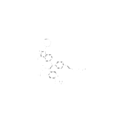 COc1cc(C)c(C(=C(c2ccc(C=CC(=O)O)cc2)c2ccc3c(c2)c(F)nn3C2CCCCO2)C2CCC2)cn1